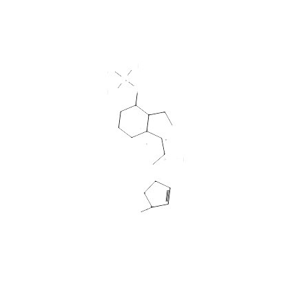 C[C@H](C[C@@H]1C=C[C@@](C)(O)C1)[C@H]1CCC2C(O[Si](C)(C)C)CCC[C@@]21C